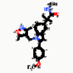 Cc1noc(C)c1Cn1c(-c2ccc(OC(F)(F)F)cc2)cc2cc(C(C)(C)C(=O)NC(C)(C)C)ccc21